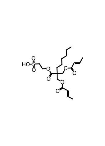 CC=CC(=O)OCC(CCCCCC)(COC(=O)C=CC)C(=O)OCCS(=O)(=O)O